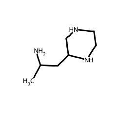 CC(N)CC1CNCCN1